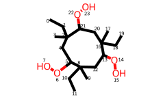 CCC1(C)CC(OO)C(C)(CC)CC(OO)C(C)(CC)CC1OO